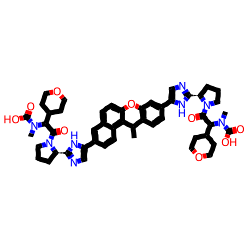 CC1c2ccc(-c3cnc([C@@H]4CCCN4C(=O)C(C4CCOCC4)N(C)C(=O)O)[nH]3)cc2Oc2ccc3cc(-c4cnc([C@@H]5CCCN5C(=O)C(C5CCOCC5)N(C)C(=O)O)[nH]4)ccc3c21